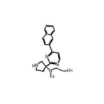 CCN(CCO)[C@@]1(c2nccc(-c3ccc4ccccc4c3)n2)CCNC1